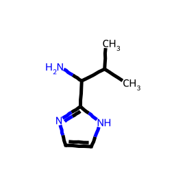 CC(C)C(N)c1ncc[nH]1